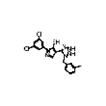 Cc1cccc(CN2NNN=C2c2cnn(-c3cc(Cl)cc(Cl)c3)c2S)c1